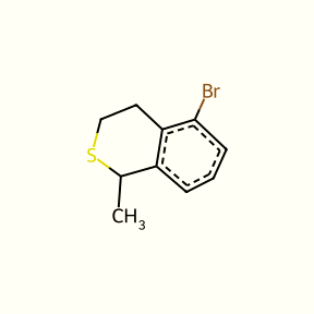 CC1SCCc2c(Br)cccc21